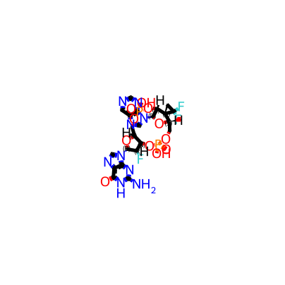 Nc1nc2c(ncn2[C@@H]2O[C@@H]3COP(=O)(O)O[C@H]4[C@H](n5cnc6cncnc65)O[C@H](COP(=O)(O)O[C@H]3[C@H]2F)[C@]42CC2(F)F)c(=O)[nH]1